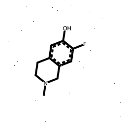 CN1CCc2cc(O)c(F)cc2C1